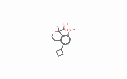 COc1ccc(C2CCC2)c2c1C(C)(C(=O)O)OCC2